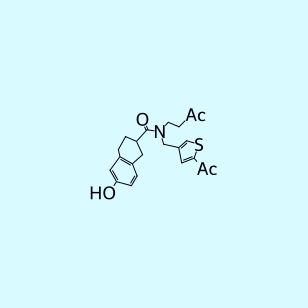 CC(=O)CCN(Cc1csc(C(C)=O)c1)C(=O)C1CCc2cc(O)ccc2C1